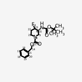 CC(C)(C)OC(=O)N[C@H]1CN(C(=O)OCc2ccccc2)CCC1F